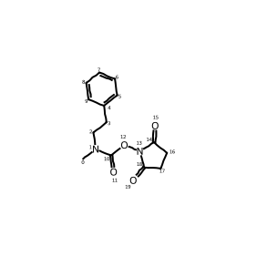 CN(CCc1ccccc1)C(=O)ON1C(=O)CCC1=O